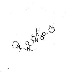 CCN(CCC(C)N1CCCCC1)C(=O)Cc1csc(NC(=O)OCc2cccnc2)n1